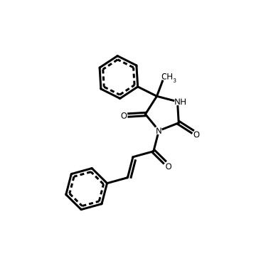 CC1(c2ccccc2)NC(=O)N(C(=O)C=Cc2ccccc2)C1=O